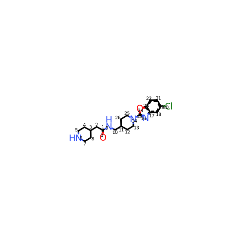 O=C(CC1CCNCC1)NCC1CCN(c2nc3cc(Cl)ccc3o2)CC1